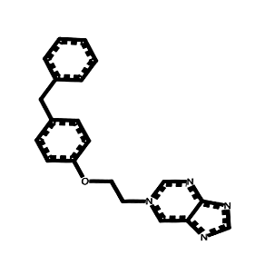 c1ccc(Cc2ccc(OCCn3cnc4ncnc-4c3)cc2)cc1